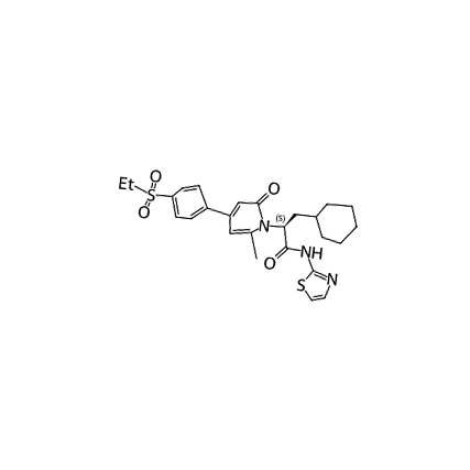 CCS(=O)(=O)c1ccc(-c2cc(C)n([C@@H](CC3CCCCC3)C(=O)Nc3nccs3)c(=O)c2)cc1